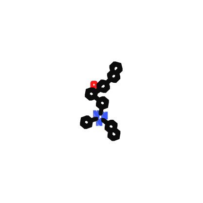 c1ccc(-c2nc(-c3cccc(-c4cccc5oc6cc(-c7ccc8ccccc8c7)ccc6c45)c3)nc(-c3ccc4ccccc4c3)n2)cc1